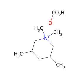 CC1CC(C)C[N+](C)(C)C1.O=C([O-])O